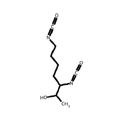 CC(O)C(CCCCN=C=O)N=C=O